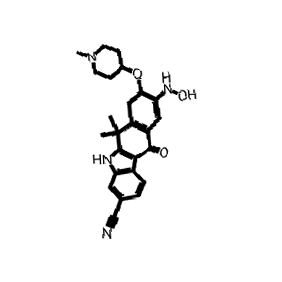 CN1CCC(OC2CC3=C(C=C2NO)C(=O)c2c([nH]c4cc(C#N)ccc24)C3(C)C)CC1